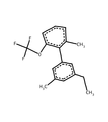 CCc1cc(C)cc(-c2c(C)cccc2OC(F)(F)F)c1